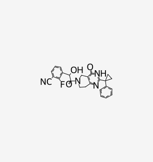 N#Cc1cccc(C(O)C(=O)N2CCc3nc(C4(c5ccccc5)CC4)[nH]c(=O)c3C2)c1F